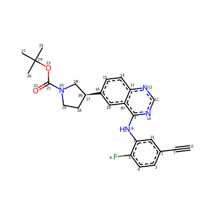 C#Cc1ccc(F)c(Nc2ncnc3ccc([C@H]4CCN(C(=O)OC(C)(C)C)C4)cc23)c1